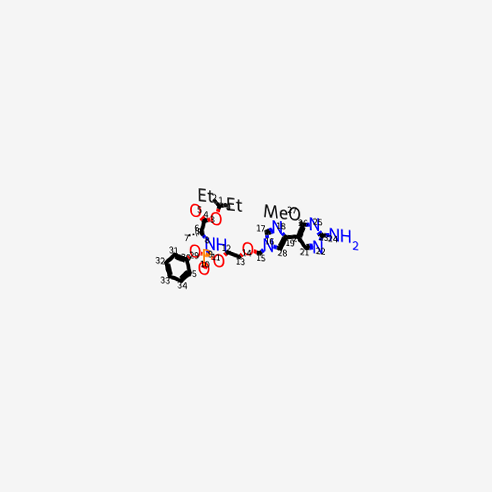 CCC(CC)OC(=O)[C@@H](C)NP(=O)(OCCOCn1cnc(-c2cnc(N)nc2OC)c1)Oc1ccccc1